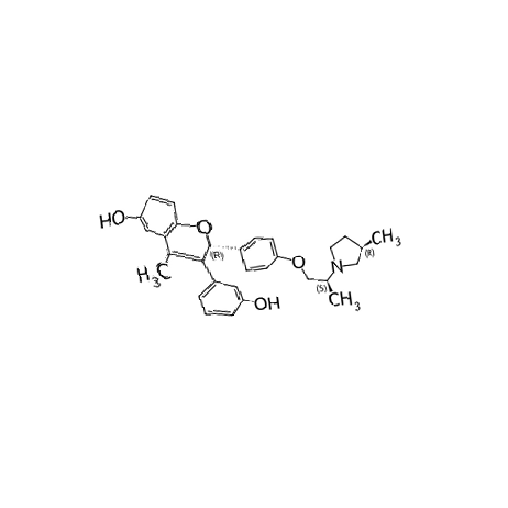 CC1=C(c2cccc(O)c2)[C@@H](c2ccc(OC[C@H](C)N3CC[C@@H](C)C3)cc2)Oc2ccc(O)cc21